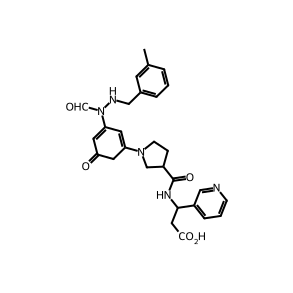 Cc1cccc(CNN(C=O)C2=CC(=O)CC(N3CCC(C(=O)NC(CC(=O)O)c4cccnc4)C3)=C2)c1